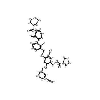 Cc1c(COc2cc(OCc3cncc(C#N)c3)c(COC(=O)[C@@H]3CCCN3)cc2Cl)cccc1-c1cccc(C(=O)N2CCOCC2)c1C